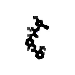 C#Cc1nc(C#N)cn1/C=C(\N)C(=O)Nc1ccc(F)c(CNc2cccnc2N)c1